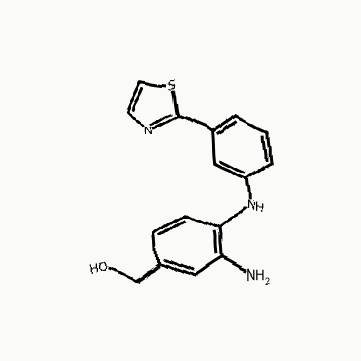 Nc1cc(CO)ccc1Nc1cccc(-c2nccs2)c1